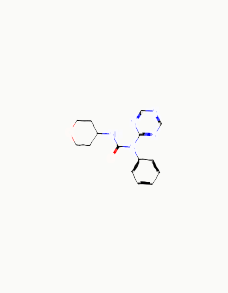 O=C(NC1CCOCC1)N(c1ccccc1)c1ncncn1